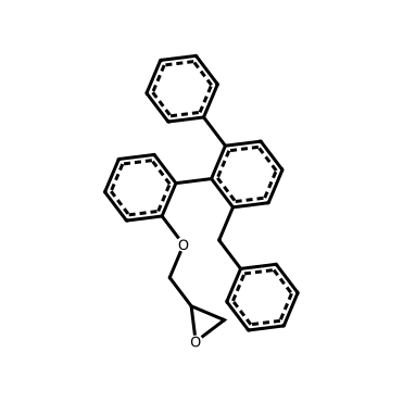 c1ccc(Cc2cccc(-c3ccccc3)c2-c2ccccc2OCC2CO2)cc1